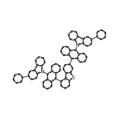 c1ccc(-c2ccc3c(c2)c2ccccc2n3-c2c3ccccc3c(-c3ccc4c(c3)sc3cccc(-c5c6ccccc6c(-n6c7ccccc7c7cc(-c8ccccc8)ccc76)c6ccccc56)c34)c3ccccc23)cc1